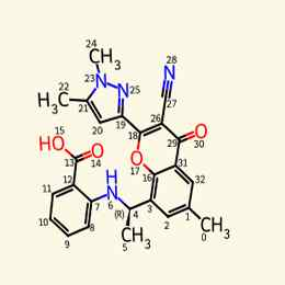 Cc1cc([C@@H](C)Nc2ccccc2C(=O)O)c2oc(-c3cc(C)n(C)n3)c(C#N)c(=O)c2c1